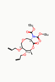 C=CCO[C@H]1[C@H](C)OC(=O)[C@@H](N(C(=O)OC(C)(C)C)C(=O)OC(C)(C)C)COC[C@@H]1OCC=C